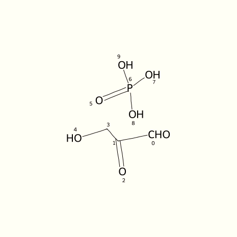 O=CC(=O)CO.O=P(O)(O)O